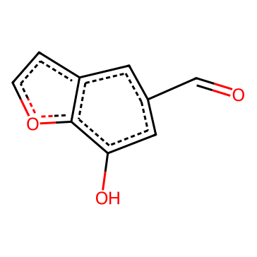 O=Cc1cc(O)c2occc2c1